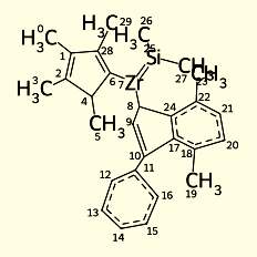 CC1=C(C)C(C)[C]([Zr]([CH]2C=C(c3ccccc3)c3c(C)ccc(C)c32)=[Si](C)C)=C1C